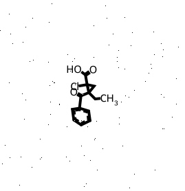 CCC1(C(=O)c2ccccc2)CC1(Cl)C(=O)O